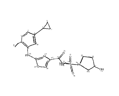 Cc1ccc(C2CC2)cc1Nc1nc(C(=O)NS(=O)(=O)N2CCC(O)C2)co1